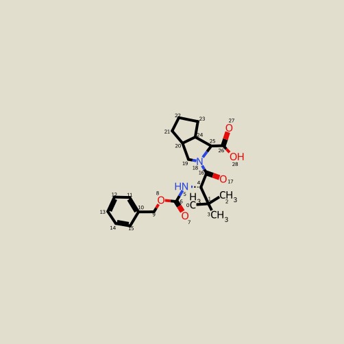 CC(C)(C)[C@H](NC(=O)OCc1ccccc1)C(=O)N1CC2CCCC2C1C(=O)O